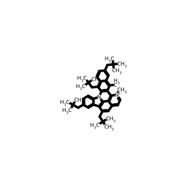 Cc1c2cc(CC(C)(C)C)ccc2c(CC(C)(C)C)c2c1c1c3c(cc[n+]1C)cc(CC(C)(C)C)c1c4cc(CC(C)(C)C)ccc4n2c13